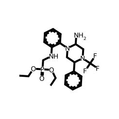 CCOP(=O)(CNc1ccccc1N1CC(c2ccccc2)N(C(F)(F)F)CC1N)OCC